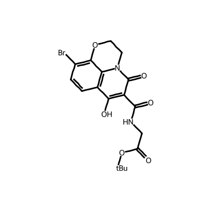 CC(C)(C)OC(=O)CNC(=O)c1c(O)c2ccc(Br)c3c2n(c1=O)CCO3